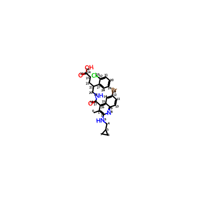 Cc1c(NCC2CC2)nc2ccc(Br)cc2c1C(=O)NCC(CCC(=O)O)c1ccccc1Cl